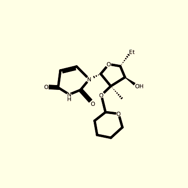 CC[C@H]1O[C@@H](n2ccc(=O)[nH]c2=O)[C@](C)(OC2CCCCO2)[C@@H]1O